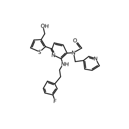 O=CN(Cc1cccnc1)c1ccc(-c2sccc2CO)nc1NCCc1cccc(F)c1